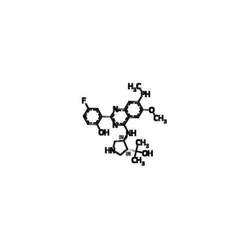 COc1cc2c(N[C@@H]3CNC[C@H]3C(C)(C)O)nc(-c3cc(F)ccc3O)nc2cc1PC